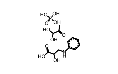 CC(=O)C(O)O.O=C(O)C(O)CNc1ccccc1.O=P(O)(O)O